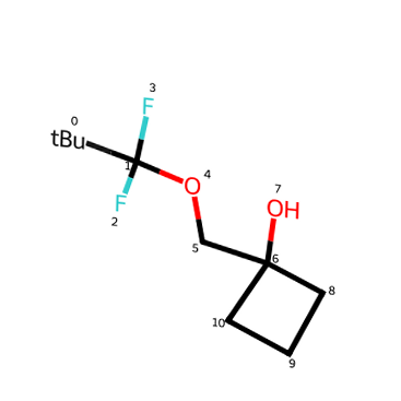 CC(C)(C)C(F)(F)OCC1(O)CCC1